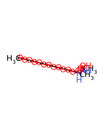 COCCOCCOCCOCCOCCOCCOCCOCCOCCOCCOCCOCCC(=O)N[C@@H](C)C(=O)N[C@H](C)C(=O)O